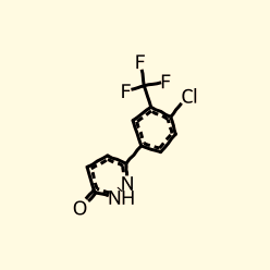 O=c1ccc(-c2ccc(Cl)c(C(F)(F)F)c2)n[nH]1